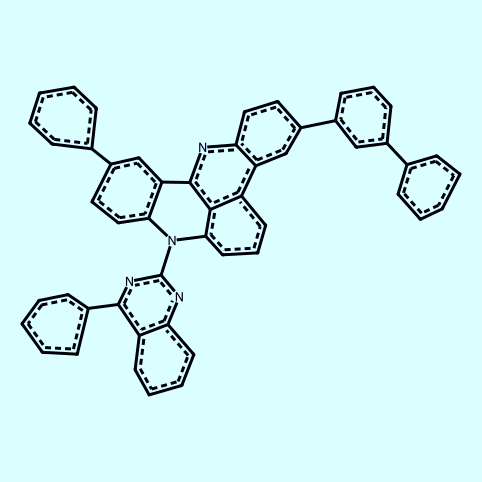 c1ccc(-c2cccc(-c3ccc4nc5c6c(cccc6c4c3)N(c3nc(-c4ccccc4)c4ccccc4n3)c3ccc(-c4ccccc4)cc3-5)c2)cc1